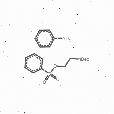 CCCCCCCCCCCCOS(=O)(=O)c1ccccc1.Nc1ccccc1